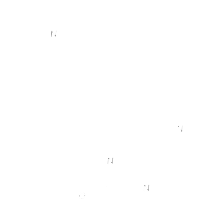 O=c1cnc2cnccc2n1Cc1cccc(-c2ccc3cccn3c2)c1